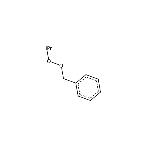 CC(C)OOCc1ccccc1